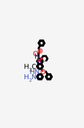 Cc1c2c(cc(OCc3ccccc3)c1Nc1ccccc1N)[C@]13CCCC[C@@H]1[C@H](C2)N(C(=O)OCc1ccccc1)CC3